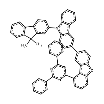 CC1(C)c2ccccc2-c2ccc(-n3c4ccccc4c4cc(-c5ccc6oc7cccc(-c8nc(-c9ccccc9)nc(-c9ccccc9)n8)c7c6c5)ccc43)cc21